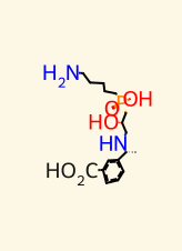 C[C@@H](NC[C@H](O)CP(=O)(O)CCCCCN)c1cccc(C(=O)O)c1